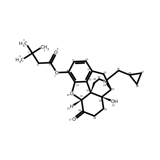 CC(C)(C)CC(=O)Oc1ccc2c3c1O[C@H]1C(=O)CC[C@@]4(O)C(C2)N(CC2CC2)CC[C@]314